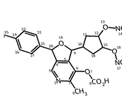 Cc1ncc2c(c1OC(=O)O)C(C1CC(O[N+](=O)[O-])C(O[N+](=O)[O-])C1)OC2c1ccc(Cl)cc1